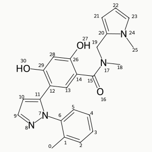 Cc1ccccc1-n1nccc1-c1cc(C(=O)N(C)Cc2cccn2C)c(O)cc1O